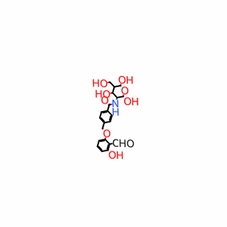 O=Cc1c(O)cccc1OCc1ccc(C(=O)NC2C(O)OC(O)C(CO)C2O)cc1